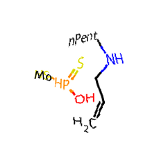 C=CCNCCCCC.O[PH](=S)S.[Mo]